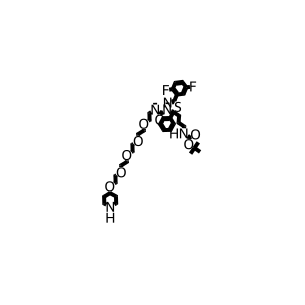 CN(CCOCCOCCOCCOCCOC1CCNCC1)C(=O)N1N=C(c2cc(F)ccc2F)SC1(CCCNC(=O)OC(C)(C)C)c1ccccc1